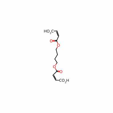 O=C(O)/C=C\C(=O)OCCCCOC(=O)/C=C\C(=O)O